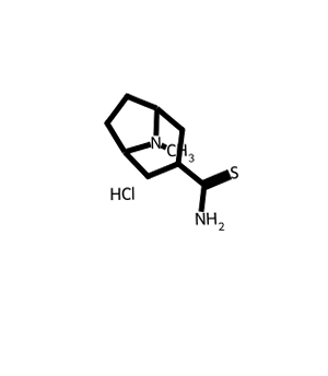 CN1C2CCC1CC(C(N)=S)C2.Cl